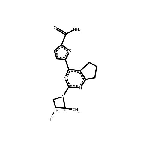 C[C@H]1[C@H](F)CN1c1nc2c(c(-c3ccc(C(N)=O)s3)n1)CCC2